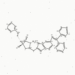 Cn1c(CN2C[C@@H]3[C@H](COc4ccccc4)[C@@H]3C2)nc2ccc(N=C(c3ccccc3)c3ccccc3)cc21